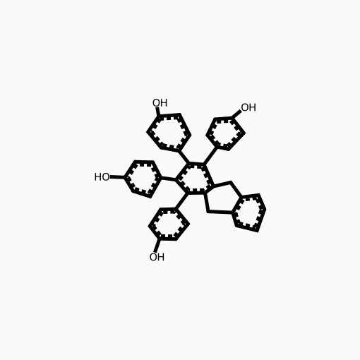 Oc1ccc(-c2c3c(c(-c4ccc(O)cc4)c(-c4ccc(O)cc4)c2-c2ccc(O)cc2)Cc2ccccc2C3)cc1